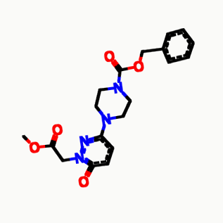 COC(=O)Cn1nc(N2CCN(C(=O)OCc3ccccc3)CC2)ccc1=O